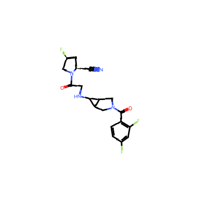 N#C[C@@H]1C[C@H](F)CN1C(=O)CNC1C2CN(C(=O)c3ccc(F)cc3F)CC21